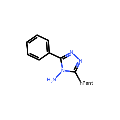 CCCCCc1nnc(-c2ccccc2)n1N